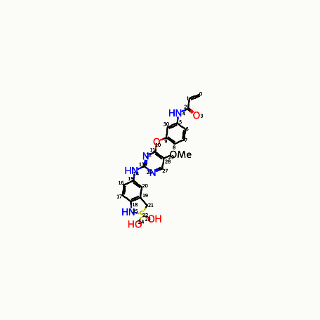 C=CC(=O)Nc1cccc(Oc2nc(Nc3ccc4c(c3)CS(O)(O)N4)ncc2OC)c1